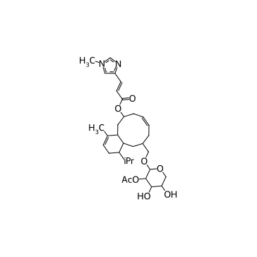 CC(=O)OC1C(OCC2CC=CCC(OC(=O)C=Cc3cn(C)cn3)CC3C(C)=CCC(C(C)C)C3C2)OCC(O)C1O